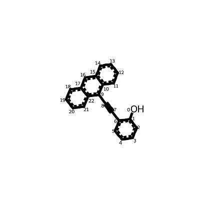 Oc1ccccc1C#Cc1c2ccccc2cc2ccccc12